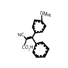 COc1ccc(/C(=C(\C#N)C(=O)O)c2ccccc2)cc1